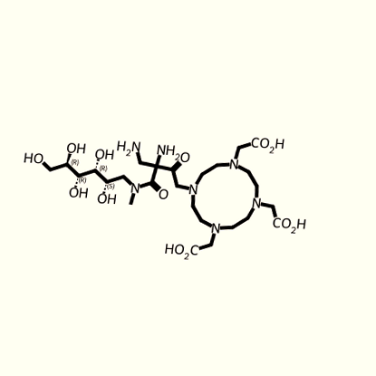 CN(C[C@H](O)[C@@H](O)[C@H](O)[C@H](O)CO)C(=O)C(N)(CN)C(=O)CN1CCN(CC(=O)O)CCN(CC(=O)O)CCN(CC(=O)O)CC1